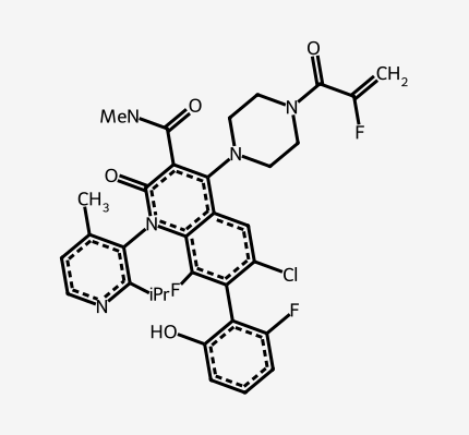 C=C(F)C(=O)N1CCN(c2c(C(=O)NC)c(=O)n(-c3c(C)ccnc3C(C)C)c3c(F)c(-c4c(O)cccc4F)c(Cl)cc23)CC1